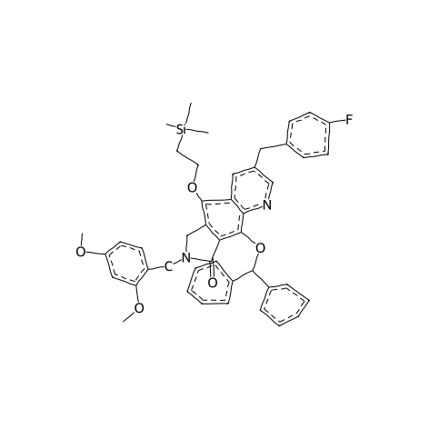 COc1ccc(CN2Cc3c(c(OC(c4ccccc4)c4ccccc4)c4ncc(Cc5ccc(F)cc5)cc4c3OCC[Si](C)(C)C)C2=O)c(OC)c1